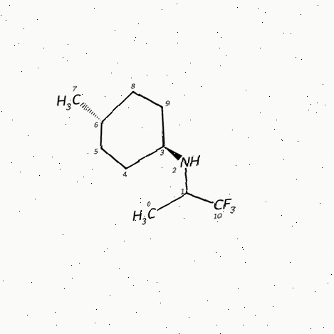 CC(N[C@H]1CC[C@H](C)CC1)C(F)(F)F